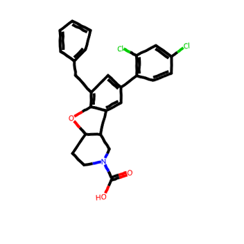 O=C(O)N1CCC2Oc3c(Cc4ccccc4)cc(-c4ccc(Cl)cc4Cl)cc3C2C1